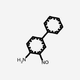 Nc1ccc(-c2ccccc2)cc1N=O